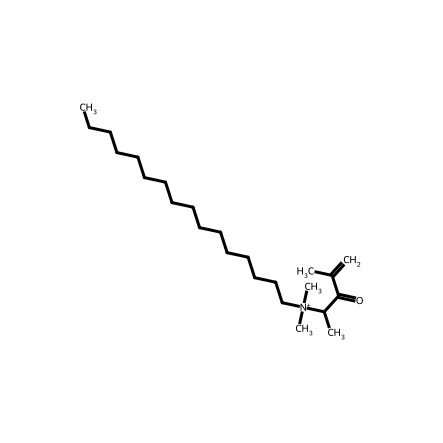 C=C(C)C(=O)C(C)[N+](C)(C)CCCCCCCCCCCCCCCC